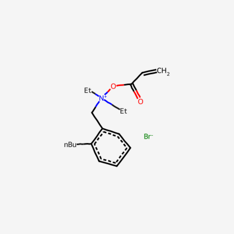 C=CC(=O)O[N+](CC)(CC)Cc1ccccc1CCCC.[Br-]